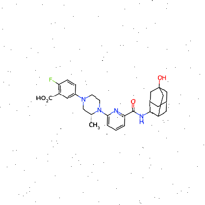 C[C@@H]1CN(c2ccc(F)c(C(=O)O)c2)CCN1c1cccc(C(=O)NC2C3CC4CC2CC(O)(C4)C3)n1